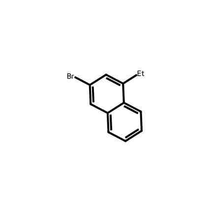 [CH2]Cc1cc(Br)cc2ccccc12